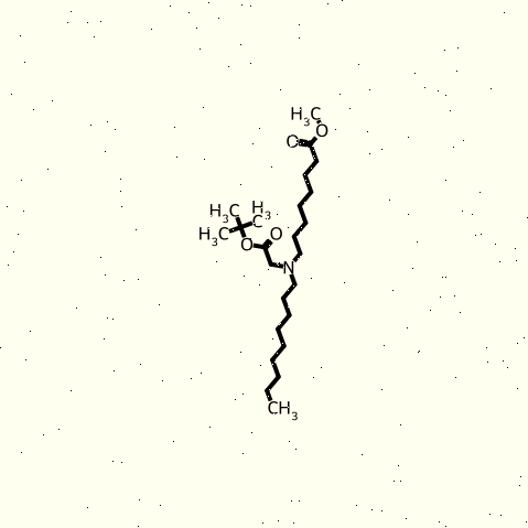 CCCCCCCCCN(CCCCCCCC(=O)OC)CC(=O)OC(C)(C)C